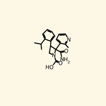 Cc1ncccc1C1(C(N)=O)C(c2ccccc2C(C)C)CN1C(=O)O